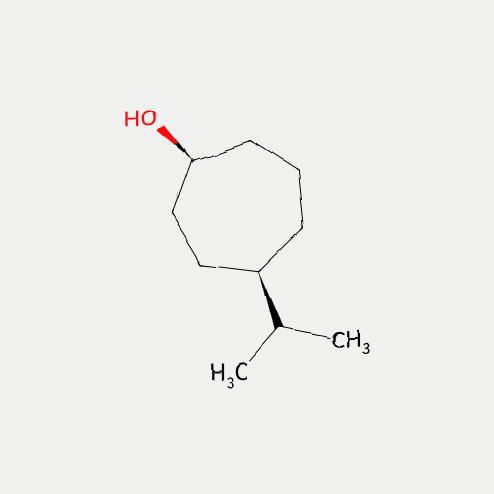 CC(C)[C@@H]1CCC[C@H](O)CC1